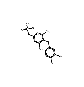 Cc1cc(CP(N)(=O)O)cc(C)c1Cc1ccc(O)c(C(C)C)c1